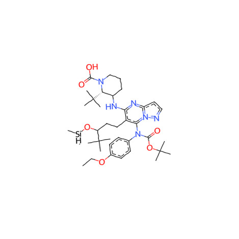 CCOc1ccc(N(C(=O)OC(C)(C)C)c2c(CCC(O[SiH](C)C)C(C)(C)C)c(NC3CCCN(C(=O)O)[C@H]3C(C)(C)C)nc3ccnn23)cc1